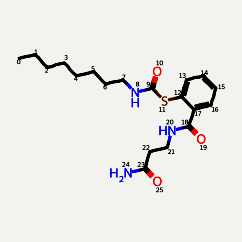 CCCCCCCCNC(=O)Sc1ccccc1C(=O)NCCC(N)=O